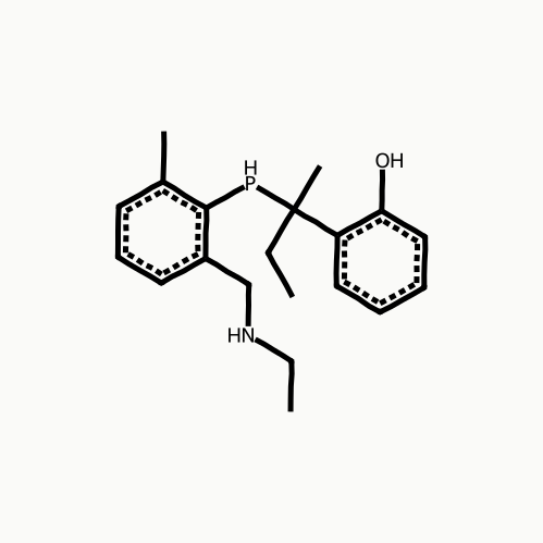 CCNCc1cccc(C)c1PC(C)(CC)c1ccccc1O